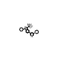 NC(=O)c1nn(C2CCCCC2)c2ccc(-c3cncc(N4CCCCC4)c3)cc12